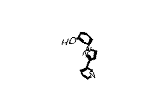 Oc1cccc(-n2ccc(-c3cccnc3)n2)c1